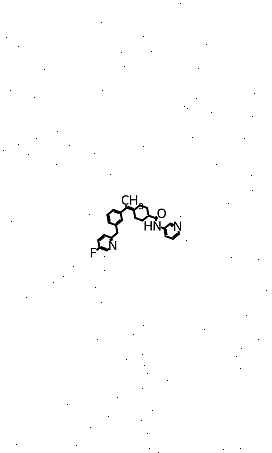 CC(=C1CCC(C(=O)Nc2cccnc2)CC1)c1cccc(Cc2ccc(F)cn2)c1